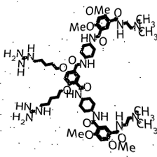 COc1cc(OC)c(C(=O)N[C@H]2CC[C@H](NC(=O)c3cc(C(=O)N[C@H]4CC[C@H](NC(=O)c5cc(C(=O)NCCN(C)C)c(OC)cc5OC)CC4)c(OCCCCCNC(=N)N)cc3OCCCCCNC(=N)N)CC2)cc1C(=O)NCCN(C)C